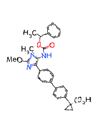 COc1nc(-c2ccc(-c3ccc(C4(C(=O)O)CC4)cc3)cc2)c(NC(=O)OC(C)c2ccccc2)n1C